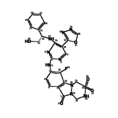 O=c1c2ccc(Nc3ncc(-c4nnco4)c(N[C@H](CO)c4ccccc4)n3)c(F)c2n2n1CNS(=O)(=O)C2